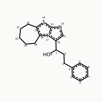 OC(CCc1ccccc1)c1cnc2sc3c(n12)CCCCC3